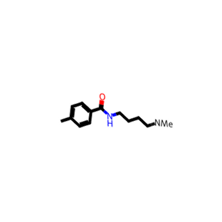 CNCCCCNC(=O)c1ccc(C)cc1